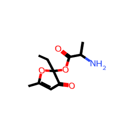 CCC1(OC(=O)C(C)N)OC(C)=CC1=O